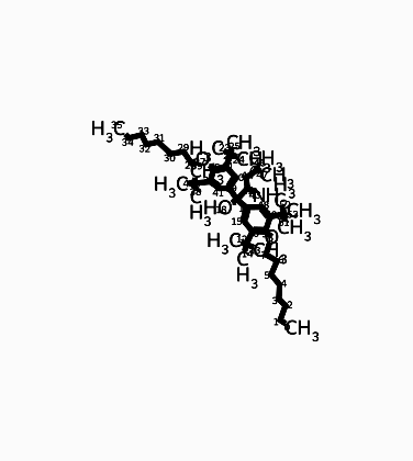 CCCCCCCCOc1c(C(C)(C)C)cc(C(O)(c2cc(C(C)(C)C)c(OCCCCCCCC)c(C(C)(C)C)c2)C(N)CC(C)C)cc1C(C)(C)C